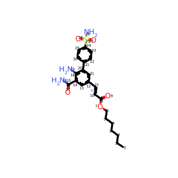 CCCCCCCOC(=O)/C=C/c1cc(C(N)=O)c(N)c(-c2ccc(S(N)(=O)=O)cc2)c1